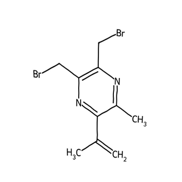 C=C(C)c1nc(CBr)c(CBr)nc1C